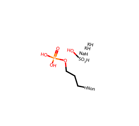 CCCCCCCCCCCCOP(=O)(O)O.O=S(=O)(O)O.[KH].[KH].[NaH]